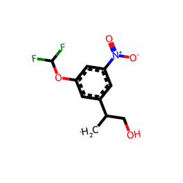 [CH2]C(CO)c1cc(OC(F)F)cc([N+](=O)[O-])c1